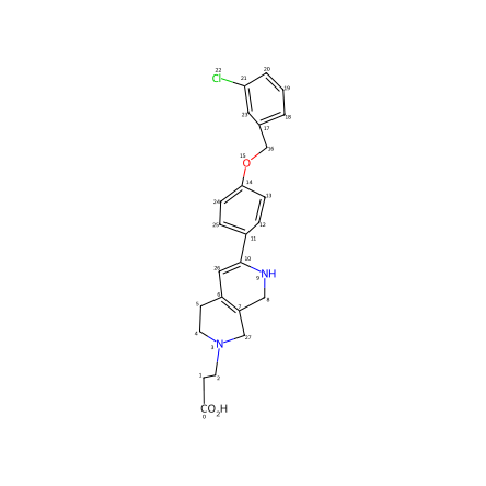 O=C(O)CCN1CCC2=C(CNC(c3ccc(OCc4cccc(Cl)c4)cc3)=C2)C1